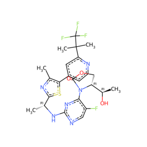 Cc1nc([C@@H](C)Nc2ncc(F)c(N3C(=O)OC[C@@H]3[C@@H](C)O)n2)sc1-c1ccnc(C(C)(C)C(F)(F)F)c1